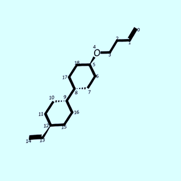 C=CCCO[C@H]1CC[C@H]([C@H]2CC[C@H](C=C)CC2)CC1